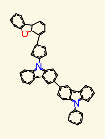 C1=CC2c3ccccc3OC2C(c2ccc(-n3c4ccccc4c4cc(-c5ccc6c(c5)c5ccccc5n6-c5ccccc5)ccc43)cc2)=C1